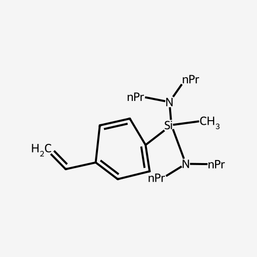 C=Cc1ccc([Si](C)(N(CCC)CCC)N(CCC)CCC)cc1